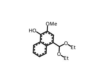 CCOC(OCC)c1cc(OC)c(O)c2ccccc12